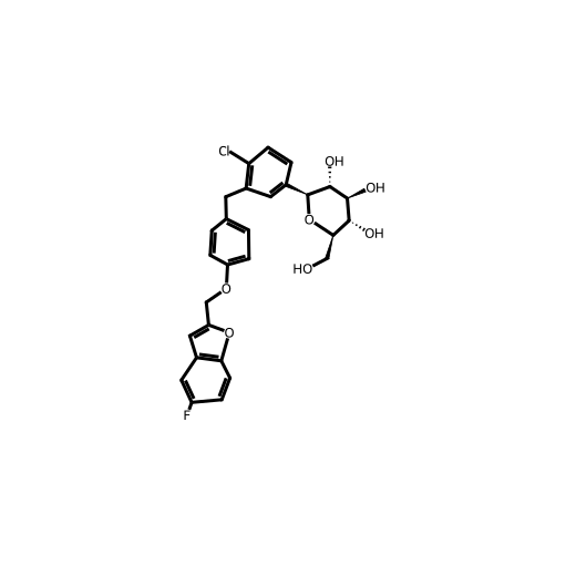 OC[C@H]1O[C@@H](c2ccc(Cl)c(Cc3ccc(OCc4cc5cc(F)ccc5o4)cc3)c2)[C@H](O)[C@@H](O)[C@@H]1O